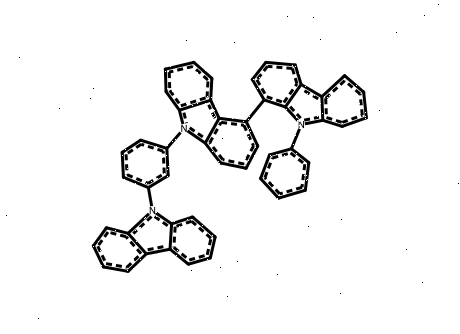 c1ccc(-n2c3ccccc3c3cccc(-c4cccc5c4c4ccccc4n5-c4cccc(-n5c6ccccc6c6ccccc65)c4)c32)cc1